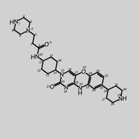 O=C(CCN1CCNCC1)NC1CCC(n2cc3c(nc2=O)Nc2cc(C4CCNCC4)ccc2O3)CC1